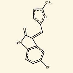 Cc1ccc(C=C2C(=O)Nc3ccc(Br)cc32)o1